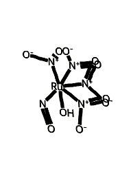 O=[N][Ru]([OH])([N+](=O)[O-])([N+](=O)[O-])([N+](=O)[O-])[N+](=O)[O-]